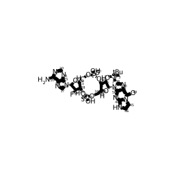 CC(C)(C)[Si](C)(C)O[C@@H]1[C@@H]2OP(O)(=S)OC[C@H]3O[C@@H](n4cnc5c(N)ncnc54)[C@H](F)[C@@H]3OP(O)(=S)OC[C@H]2O[C@H]1n1cnc2c(=O)n3cc[nH]c3nc21